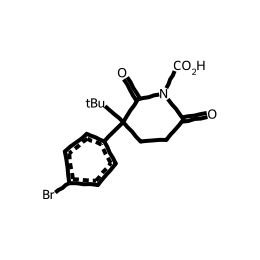 CC(C)(C)C1(c2ccc(Br)cc2)CCC(=O)N(C(=O)O)C1=O